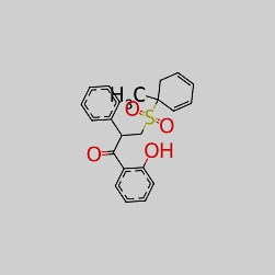 CC1(S(=O)(=O)CC(C(=O)c2ccccc2O)c2ccccc2)C=CC=CC1